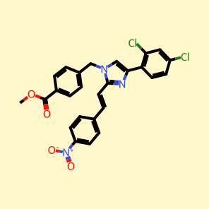 COC(=O)c1ccc(Cn2cc(-c3ccc(Cl)cc3Cl)nc2C=Cc2ccc([N+](=O)[O-])cc2)cc1